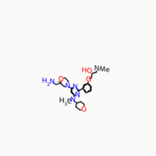 CNCC(O)COc1cccc(-c2nc(N3CCO[C@H](CN)C3)cc(N(C)C3CCOCC3)n2)c1